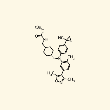 Cc1ccc(-c2c(C)noc2C)cc1N(C[C@H]1CC[C@H](CNC(=O)OC(C)(C)C)CC1)c1ccc(C2(C#N)CC2)cc1